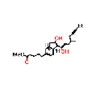 CCC#CCC(C)CC=C(O)C1C(O)C[C@H]2CC(CCCCC(=O)OC)=CC[C@H]12